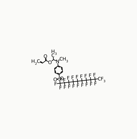 C=CC(=O)OC(C)N(C)c1ccc(S(=O)(=O)C(F)(F)C(F)(F)C(F)(F)C(F)(F)C(F)(F)C(F)(F)C(F)(F)C(F)(F)C(F)(F)C(F)(F)F)cc1